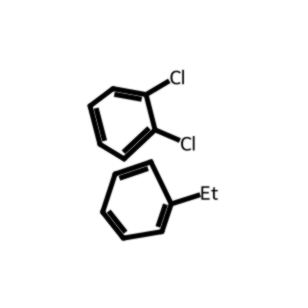 CCc1ccccc1.Clc1ccccc1Cl